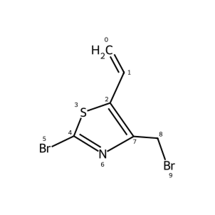 C=Cc1sc(Br)nc1CBr